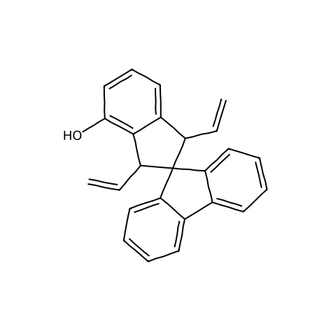 C=CC1c2cccc(O)c2C(C=C)C12c1ccccc1-c1ccccc12